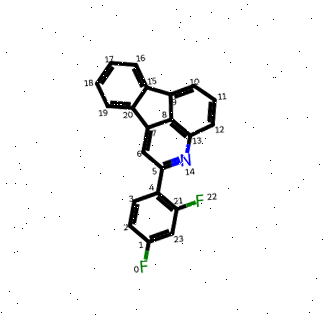 Fc1ccc(-c2cc3c4c(cccc4n2)-c2ccccc2-3)c(F)c1